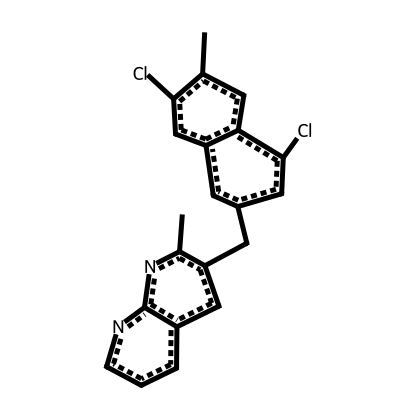 Cc1cc2c(Cl)cc(Cc3cc4cccnc4nc3C)cc2cc1Cl